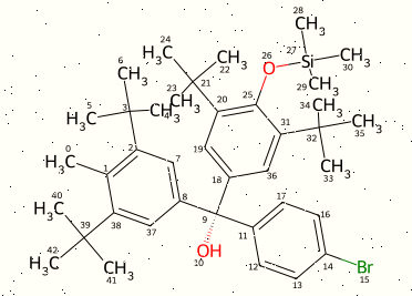 Cc1c(C(C)(C)C)cc([C@](O)(c2ccc(Br)cc2)c2cc(C(C)(C)C)c(O[Si](C)(C)C)c(C(C)(C)C)c2)cc1C(C)(C)C